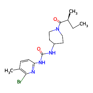 CC[C@H](C)C(=O)N1CCC(NC(=O)Nc2ccc(C)c(Br)n2)CC1